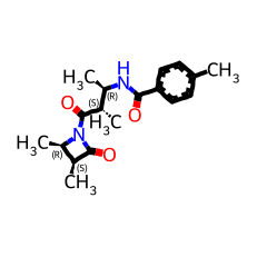 Cc1ccc(C(=O)N[C@H](C)[C@H](C)C(=O)N2C(=O)[C@@H](C)[C@H]2C)cc1